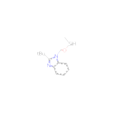 C[SiH](C)OCn1c(C(C)(C)C)nc2[c]cccc21